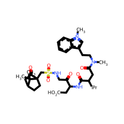 CC(C)C(CC(=O)N(C)CCc1cn(C)c2ccccc12)C(=O)NC(CC(=O)O)C(=O)CNS(=O)(=O)CC12CCC(CC1=O)C2(C)C